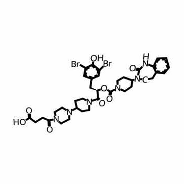 O=C(O)CCC(=O)N1CCN(C2CCN(C(=O)[C@@H](Cc3cc(Br)c(O)c(Br)c3)OC(=O)N3CCC(N4CCc5ccccc5NC4=O)CC3)CC2)CC1